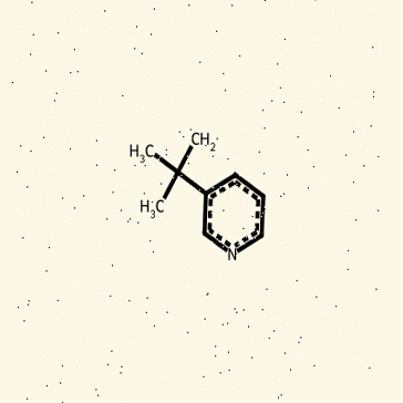 [CH2]C(C)(C)c1cccnc1